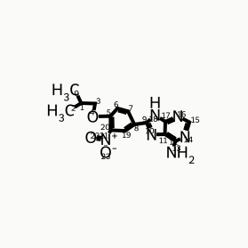 CC(C)COc1ccc(-c2nc3c(N)ncnc3[nH]2)cc1[N+](=O)[O-]